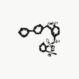 CS(=O)(=O)c1ccccc1S(=O)(=O)Nc1ccc2[nH]nc(-c3ccc(-c4ccccc4)cc3)c2c1